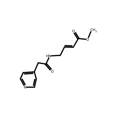 COC(=O)/C=C/CNC(=O)Cc1ccncc1